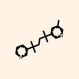 Cc1cncc(C(C)(C)CCC(C)(C)c2cccnc2)c1